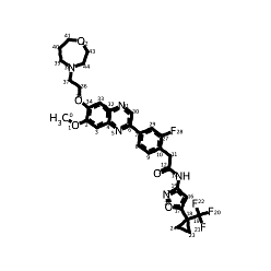 COc1cc2nc(-c3ccc(CC(=O)Nc4cc(C5(C(F)(F)F)CC5)on4)c(F)c3)cnc2cc1OCCN1CCCOCC1